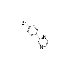 Brc1ccc(-c2cnccn2)cc1